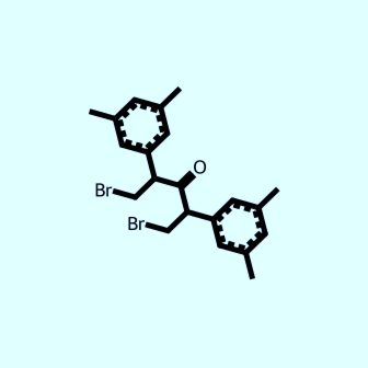 Cc1cc(C)cc(C(CBr)C(=O)C(CBr)c2cc(C)cc(C)c2)c1